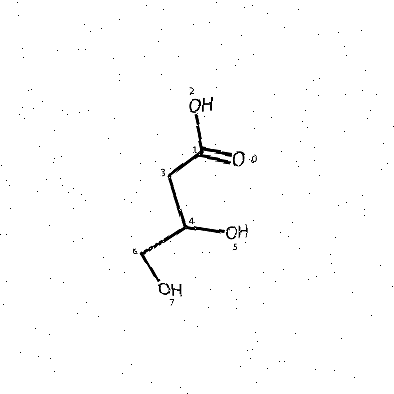 O=C(O)CC(O)CO